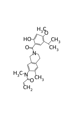 C=CC(=O)N(C)c1cc2c(cc1C)CCN(C(=O)c1cc(C(C)C)c(OC)cc1O)C2